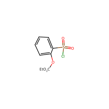 CCOC(=O)Oc1ccccc1S(=O)(=O)Cl